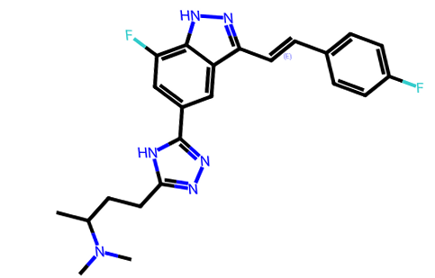 CC(CCc1nnc(-c2cc(F)c3[nH]nc(/C=C/c4ccc(F)cc4)c3c2)[nH]1)N(C)C